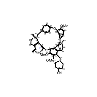 C=CC1=C2/C=C(\OC)Oc3c(OC)c(OC)c(CN4CCC(C#N)CC4)c4c3[C@H](Cc3ccc(OC)c(c3)Oc3ccc(cc3)C[C@@H]2N(C)CC1)N(C)CC4